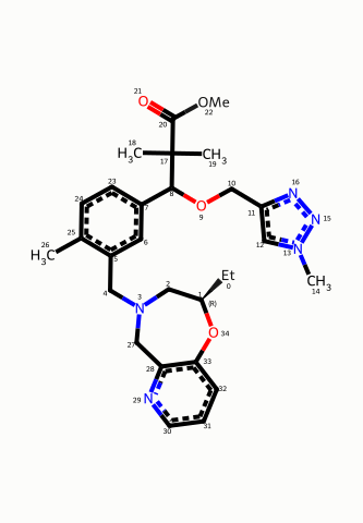 CC[C@@H]1CN(Cc2cc(C(OCc3cn(C)nn3)C(C)(C)C(=O)OC)ccc2C)Cc2ncccc2O1